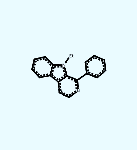 CCn1c2ccccc2c2ccnc(-c3ccccc3)c21